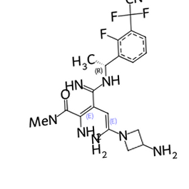 CNC(=O)/C(N)=C(/C=C(\N)N1CC(N)C1)C(=N)N[C@H](C)c1cccc(C(F)(F)C#N)c1F